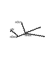 C=CCCCCCCCCCCCCCCCCC(CCCCCCCCC=CCCCCCCCC)(CCCCCCCCCCCCCC=C)C(=CCCCCCC(=CCCCCCCCCCC)CCCCCCCC(=C)CCC)CCCCCC